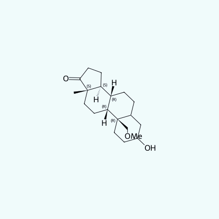 COC[C@]12CCC(O)CC1CC[C@@H]1[C@H]2CC[C@]2(C)C(=O)CC[C@@H]12